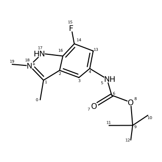 Cc1c2cc(NC(=O)OC(C)(C)C)cc(F)c2[nH][n+]1C